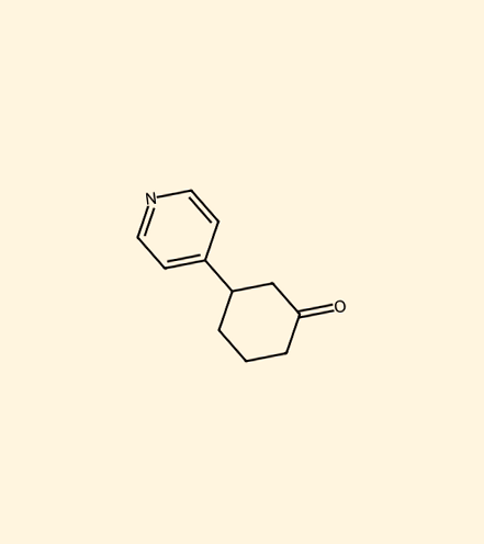 O=C1CCCC(c2ccncc2)C1